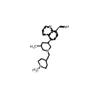 CC1CC(c2ccc(C=N)c3ncccc23)CN(CC2CCN(C)CC2)C1